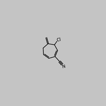 C=C1CC=CC(C#N)=CC1Cl